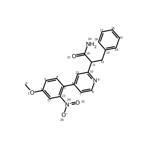 COc1ccc(-c2ccnc(C(Cc3ccccc3)C(N)=O)c2)c([N+](=O)[O-])c1